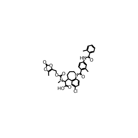 Cc1ccccc1C(=O)Nc1ccc(C(=O)N2CCCC(C(C(=O)O)N(C)C(=O)OCc3oc(=O)oc3C)c3cc(Cl)ccc32)c(C)c1